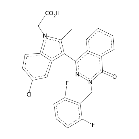 Cc1c(-c2nn(Cc3c(F)cccc3F)c(=O)c3ccccc23)c2cc(Cl)ccc2n1CC(=O)O